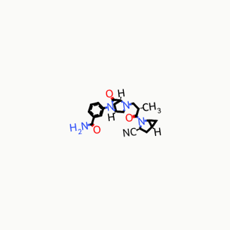 C[C@@H](CN1C[C@@H]2C[C@H]1C(=O)N2c1cccc(C(N)=O)c1)C(=O)N1C2C[C@H]2C[C@H]1C#N